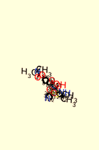 CN(C)C(=O)Oc1ccc(C[C@@H](C(=O)O)N(C(=O)[C@H]2NC(C)(C)CS2)S(=O)(=O)c2ccncc2)cc1